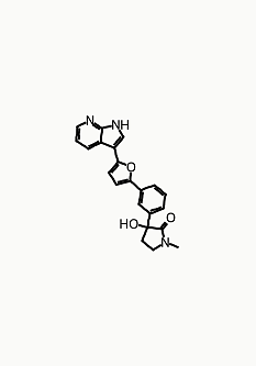 CN1CCC(O)(c2cccc(-c3ccc(-c4c[nH]c5ncccc45)o3)c2)C1=O